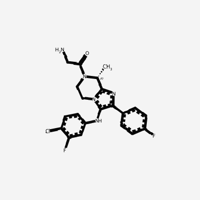 C[C@@H]1c2nc(-c3ccc(F)cc3)c(Nc3ccc(Cl)c(F)c3)n2CCN1C(=O)CN